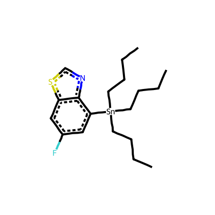 CCC[CH2][Sn]([CH2]CCC)([CH2]CCC)[c]1cc(F)cc2scnc12